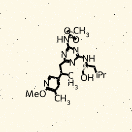 COc1ncc(C(C)Cc2nc(N[C@@H](CO)CC(C)C)nc(NS(C)(=O)=O)n2)cc1C